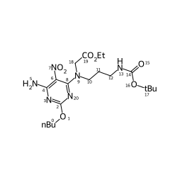 CCCCOc1nc(N)c([N+](=O)[O-])c(N(CCCNC(=O)OC(C)(C)C)CC(=O)OCC)n1